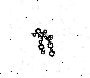 COc1cccc2c(=O)n(CCCN3CCC(N4CCCCC4)CC3)c(COc3ccc(Cl)cc3)nc12.Cl.Cl